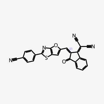 N#CC(C#N)=C1/C(=C/c2cc3sc(-c4ccc(C#N)cc4)nc3o2)C(=O)c2ccccc21